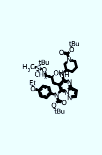 CCOc1ccc(N(C(=O)OC(C)(C)C)c2c(C[C@H](O)CO[Si](C)(C)C(C)(C)C)c(NC3CCCN(C(=O)OC(C)(C)C)C3)nc3ccnn23)cc1